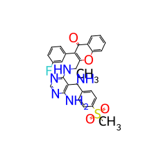 CC(Nc1ncnc(N)c1C(=N)c1ccc(S(C)(=O)=O)cc1)c1oc2ccccc2c(=O)c1-c1cccc(F)c1